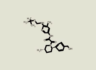 Cc1cc(NC(=O)C(=O)N2C[C@@H](C)CC[C@@H]2c2ccc(CO)cc2)cnc1NCOC(C)(C)C